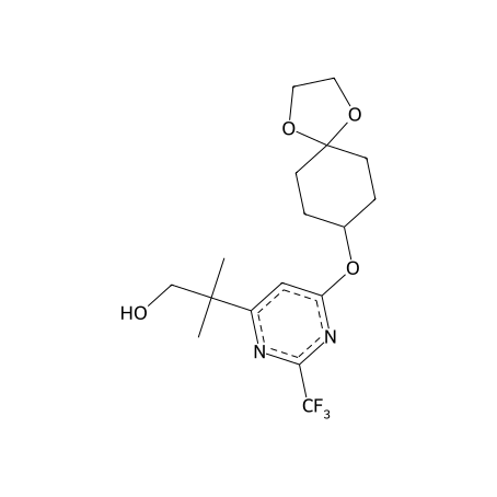 CC(C)(CO)c1cc(OC2CCC3(CC2)OCCO3)nc(C(F)(F)F)n1